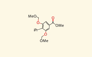 COCOc1cc(C(=O)OC)cc(OCOC)c1C(C)C